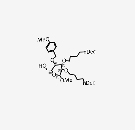 CCCCCCCCCCCCCCO[C@@H]1[C@@H](OCCCCCCCCCCCCCC)[C@@H](OC)O[C@H](CO)[C@H]1OCc1ccc(OC)cc1